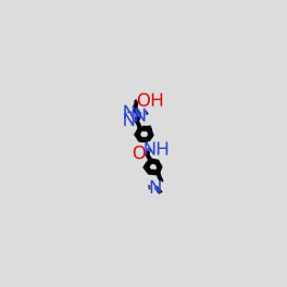 CN(C)Cc1ccc(C(=O)Nc2ccc(-c3nnc(CO)n3C)cc2)cc1